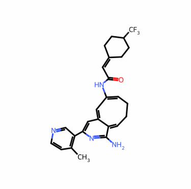 Cc1ccncc1-c1cc2/c(c(N)n1)=C\CC/C=C(NC(=O)C=C1CCC(C(F)(F)F)CC1)\C=2